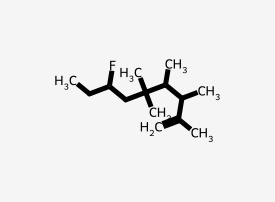 C=C(C)C(C)C(C)C(C)(C)CC(F)CC